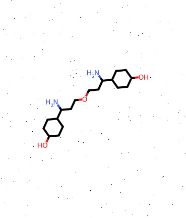 NC(CCOCCC(N)C1CCC(O)CC1)C1CCC(O)CC1